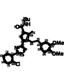 CCC(C)NC(=O)c1cc(-c2csc(-c3ccccc3Cl)n2)n(CCc2ccc(OC)c(OC)c2)c1C